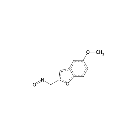 COc1ccc2oc(CN=O)cc2c1